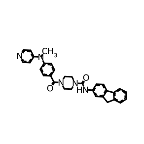 CN(c1ccncc1)c1ccc(C(=O)N2CCN(C(=O)Nc3ccc4c(c3)Cc3ccccc3-4)CC2)cc1